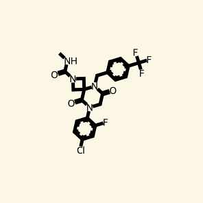 CNC(=O)N1CC2(C1)C(=O)N(c1ccc(Cl)cc1F)CC(=O)N2Cc1ccc(C(F)(F)F)cc1